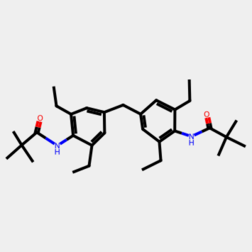 CCc1cc(Cc2cc(CC)c(NC(=O)C(C)(C)C)c(CC)c2)cc(CC)c1NC(=O)C(C)(C)C